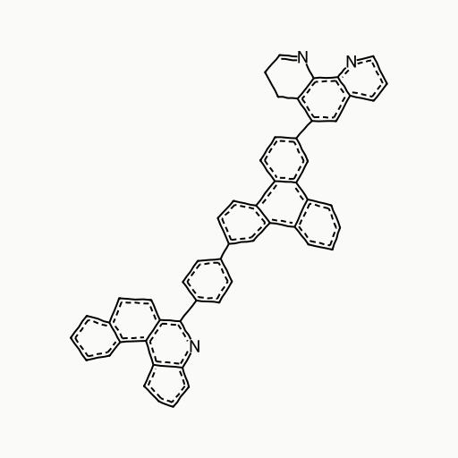 C1=Nc2c(c(-c3ccc4c5ccc(-c6ccc(-c7nc8ccccc8c8c7ccc7ccccc78)cc6)cc5c5ccccc5c4c3)cc3cccnc23)CC1